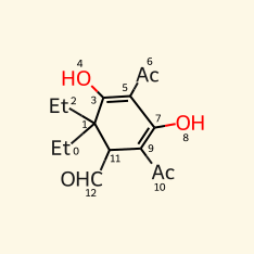 CCC1(CC)C(O)=C(C(C)=O)C(O)=C(C(C)=O)C1C=O